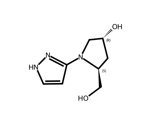 OC[C@@H]1C[C@@H](O)CN1c1cc[nH]n1